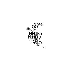 CNC(=O)OC[C@@H](NC(=O)N[C@H](C(=O)N1C[C@H]2[C@@H]([C@H]1C(=O)NC(CC1CCC1)C(=O)C(N)=O)C2(C)C)C(C)(C)C)C(C)(C)C